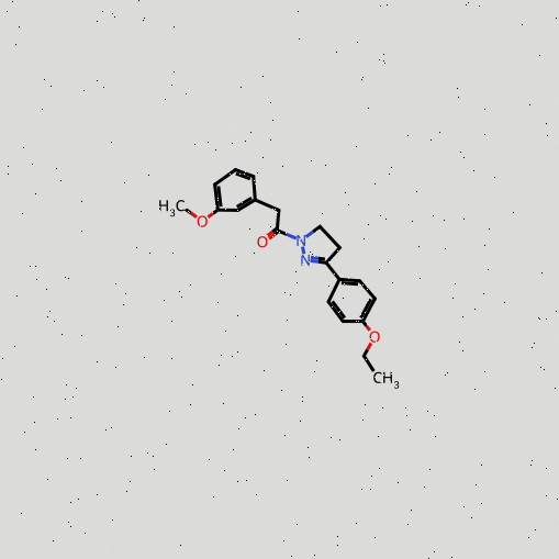 CCOc1ccc(C2=NN(C(=O)Cc3cccc(OC)c3)CC2)cc1